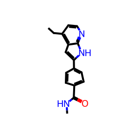 CCc1ccnc2[nH]c(-c3ccc(C(=O)NC)cc3)cc12